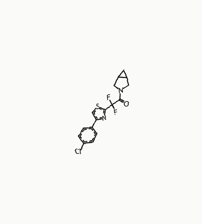 O=C(N1CC2CC2C1)C(F)(F)c1nc(-c2ccc(Cl)cc2)cs1